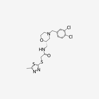 Cc1nnc(SCC(=O)NC[C@H]2CN(Cc3ccc(Cl)c(Cl)c3)CCO2)s1